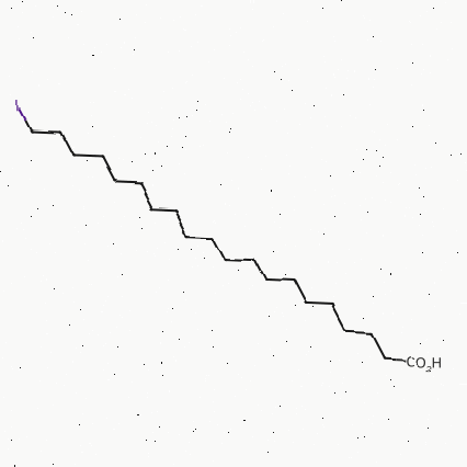 O=C(O)CCCCCCCCCCCCCCCCCCCI